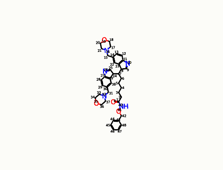 O=C(CCCCCC(C1C=Nc2ccc(CN3CCOCC3)cc21)C1C=Nc2ccc(CN3CCOCC3)cc21)NOCc1ccccc1